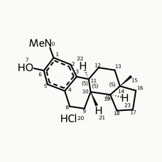 CNc1cc2c(cc1O)CC[C@@H]1[C@@H]2CC[C@]2(C)CCC[C@@H]12.Cl